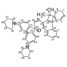 CC1(C)C2=C(C=CCC2)c2c1c1c(c3ccccc23)OC(c2ccc(N3CCCCC3)cc2)(c2ccc(N3CCCCC3)cc2)C=C1